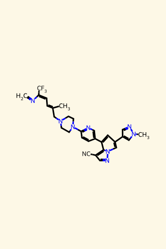 C=N/C(=C\C=C(/C)CN1CCN(c2ccc(-c3cc(-c4cnn(C)c4)cn4ncc(C#N)c34)cn2)CC1)C(F)(F)F